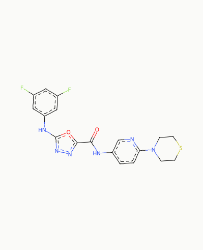 O=C(Nc1ccc(N2CCSCC2)nc1)c1nnc(Nc2cc(F)cc(F)c2)o1